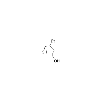 CCC(CS)CCO